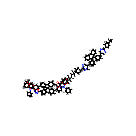 CC(C)(C)c1ccc(-c2ncc(-c3ccc4c(c3)C3(c5ccccc5-c5ccccc53)c3cc(-c5cnc(-c6ccc(C(C)(C)CCC(C)(C)c7ccc(-c8nnc(-c9ccc%10c(c9)C9(c%11cc(-c%12ccc(N(c%13ccccc%13)c%13ccccc%13)cc%12)ccc%11-c%11ccc(-c%12nnc(-c%13ccc(C(C)(C)C)cc%13)o%12)cc%119)c9cc(-c%11ccc(N(c%12ccccc%12)c%12ccccc%12)cc%11)ccc9-%10)o8)cc7)cc6)nc5)ccc3-4)cn2)cc1